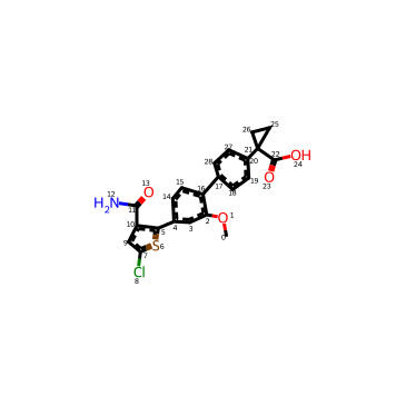 COc1cc(-c2sc(Cl)cc2C(N)=O)ccc1-c1ccc(C2(C(=O)O)CC2)cc1